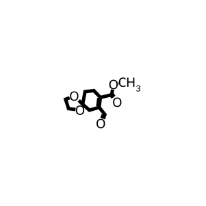 COC(=O)C1=C(C=O)CC2(CC1)OCCO2